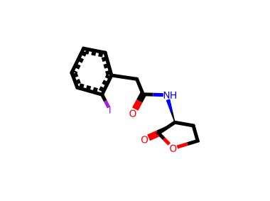 O=C(Cc1ccccc1I)N[C@H]1CCOC1=O